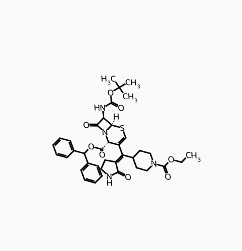 CCOC(=O)N1CCC(C(C2=CS[C@@H]3[C@H](NC(=O)OC(C)(C)C)C(=O)N3[C@H]2C(=O)OC(c2ccccc2)c2ccccc2)=C2CCNC2=O)CC1